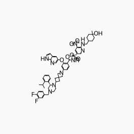 CC(C)c1ccccc1[C@@H]1CN(Cc2ccc(F)c(F)c2)CCN1C1CC2(C1)CN(c1ccc(C(=O)NS(=O)(=O)c3cnc(NCC4CCC(C)(O)CC4)c([N+](=O)[O-])c3)c(Oc3cnc4[nH]ccc4c3)c1)C2